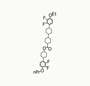 CCCOc1ccc(C2CCC(OC(=O)C3CCC(C4CCC(c5ccc(OCC)c(F)c5F)CC4)CC3)CC2)c(F)c1F